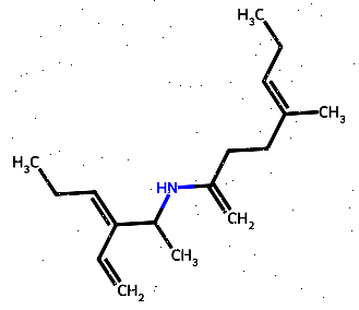 C=C/C(=C\CC)C(C)NC(=C)CCC(C)=CCC